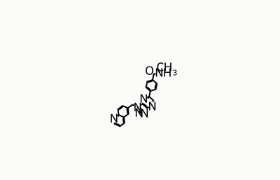 CNC(=O)c1ccc(-c2cnc3nnn(Cc4ccc5ncccc5c4)c3n2)cc1